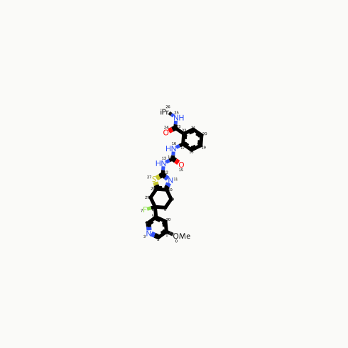 COc1cncc(C2(F)CCc3nc(NC(=O)Nc4ccccc4C(=O)NC(C)C)sc3C2)c1